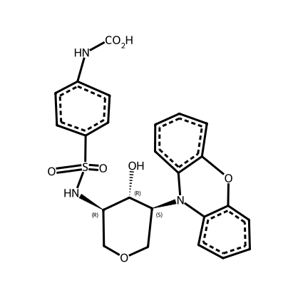 O=C(O)Nc1ccc(S(=O)(=O)N[C@@H]2COC[C@H](N3c4ccccc4Oc4ccccc43)[C@H]2O)cc1